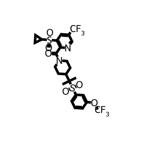 CC(C)(C1CCN(C(=O)c2ncc(C(F)(F)F)cc2S(=O)(=O)C2CC2)CC1)S(=O)(=O)c1cccc(OC(F)(F)F)c1